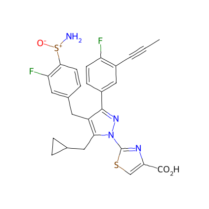 CC#Cc1cc(-c2nn(-c3nc(C(=O)O)cs3)c(CC3CC3)c2Cc2ccc([S+](N)[O-])c(F)c2)ccc1F